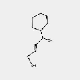 OC/C=C/C(O)C1CCCCC1